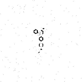 CC(C)CNC(=S)N1CCN(c2ccc(N(Cc3cnc[nH]3)S(=O)(=O)c3ccccc3)cc2)CC1